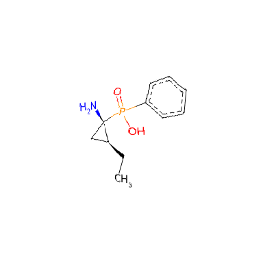 CC[C@H]1C[C@]1(N)P(=O)(O)c1ccccc1